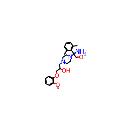 COc1ccccc1OCC(O)CN1CCN(C(N)(C=O)c2c(C)cccc2C)CC1